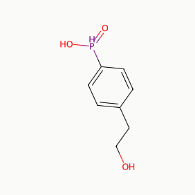 O=[PH](O)c1ccc(CCO)cc1